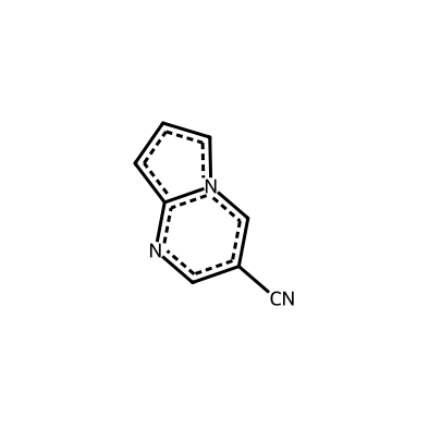 N#Cc1cnc2cccn2c1